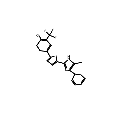 Cc1[nH]c(-c2ccc(C3=CC(C(F)(F)F)=C(Cl)CC3)o2)nc1C1C=CC=CC1